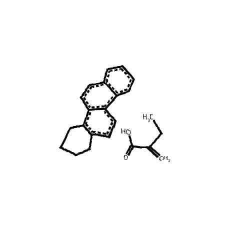 C=C(CC)C(=O)O.c1ccc2c(c1)ccc1c3c(ccc12)CCCC3